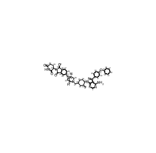 Nc1ncnc2c1c(-c1ccc(Oc3ccccc3)cc1)nn2C1CCC(CN2C[C@H]3C[C@@H]2CN3c2ccc3c(c2)C(=O)N(C2CCC(=O)NC2=O)C3=O)CC1F